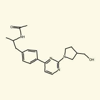 CC(=O)NC(C)Cc1ccc(-c2ccnc(N3CCC(CO)C3)n2)cc1